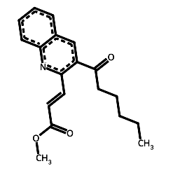 CCCCCC(=O)c1cc2ccccc2nc1/C=C/C(=O)OC